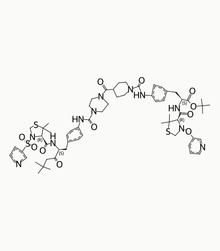 CC(C)(C)CC(=O)[C@H](Cc1ccc(NC(=O)N2CCN(C(=O)C3CCN(C(=O)Nc4ccc(C[C@H](NC(=O)[C@H]5N(Oc6cccnc6)CSC5(C)C)C(=O)OC(C)(C)C)cc4)CC3)CC2)cc1)NC(=O)[C@H]1N(S(=O)(=O)c2cccnc2)CSC1(C)C